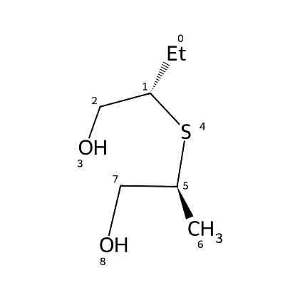 CC[C@@H](CO)S[C@@H](C)CO